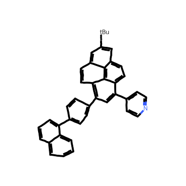 CC(C)(C)c1cc2ccc3c(-c4ccncc4)cc(-c4ccc(-c5cccc6ccccc56)cc4)c4ccc(c1)c2c34